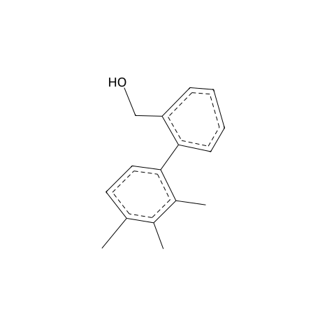 Cc1ccc(-c2ccccc2CO)c(C)c1C